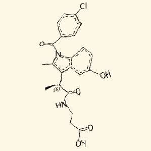 Cc1c([C@H](C)C(=O)NCCC(=O)O)c2cc(O)ccc2n1C(=O)c1ccc(Cl)cc1